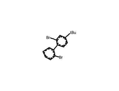 CC(C)(C)c1ccc(-c2ccccc2Br)c(Br)c1